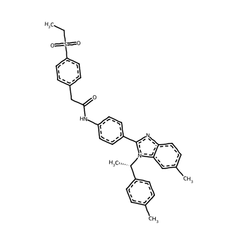 CCS(=O)(=O)c1ccc(CC(=O)Nc2ccc(-c3nc4ccc(C)cc4n3[C@@H](C)c3ccc(C)cc3)cc2)cc1